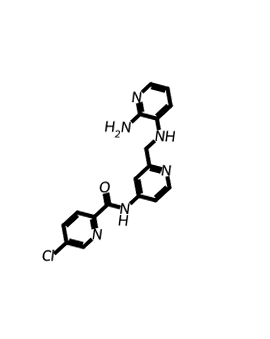 Nc1ncccc1NCc1cc(NC(=O)c2ccc(Cl)cn2)ccn1